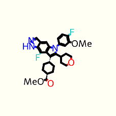 COc1cc(-n2c(C3CCOCC3)c([C@H]3CC[C@H](C(=O)OC)CC3)c3c(F)c4[nH]ncc4cc32)ccc1F